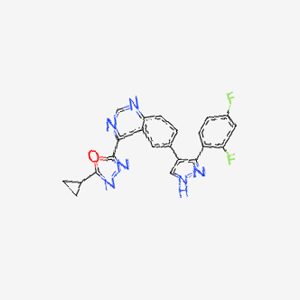 Fc1ccc(-c2n[nH]cc2-c2ccc3ncnc(-c4nnc(C5CC5)o4)c3c2)c(F)c1